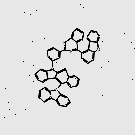 c1cc(-c2nc(-c3cccc4oc5ccccc5c34)c3ccccc3n2)cc(-n2c3ccccc3c3c(-n4c5ccccc5c5ccccc54)c4ccccc4cc32)c1